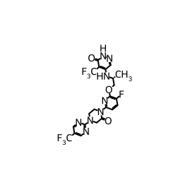 C[C@@H](COc1nc(N2CCN(c3ncc(C(F)(F)F)cn3)CC2=O)ccc1F)Nc1cn[nH]c(=O)c1C(F)(F)F